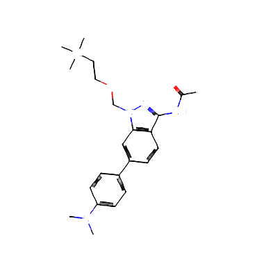 CCCC(=O)Nc1nn(COCC[Si](C)(C)C)c2cc(-c3ccc(N(C)C)cc3)ccc12